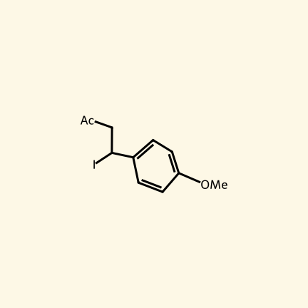 COc1ccc(C(I)CC(C)=O)cc1